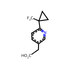 O=C(O)Cc1ccc(C2(C(F)(F)F)CC2)nc1